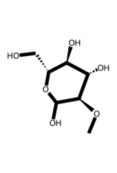 CO[C@H]1C(O)O[C@H](CO)[C@@H](O)[C@@H]1O